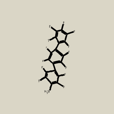 Fc1c(F)c(F)c(-c2c(F)c(F)c(-c3c(F)c(F)c([SiH3])c(F)c3F)c(F)c2F)c(F)c1F